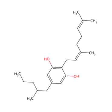 CCCC(C)Cc1cc(O)c(CC=C(C)CCC=C(C)C)c(O)c1